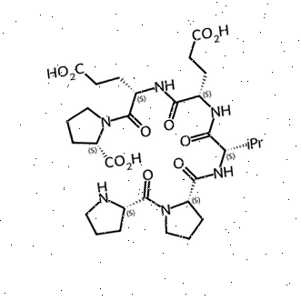 CC(C)[C@H](NC(=O)[C@@H]1CCCN1C(=O)[C@@H]1CCCN1)C(=O)N[C@@H](CCC(=O)O)C(=O)N[C@@H](CCC(=O)O)C(=O)N1CCC[C@H]1C(=O)O